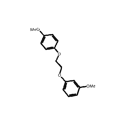 COc1ccc(OCCOc2cccc(OC)c2)cc1